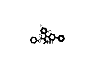 CC1=C(C(=O)OC2CCCCC2)C(c2ccc(F)cc2)C2=C(CC(c3ccccc3)CC2=O)N1